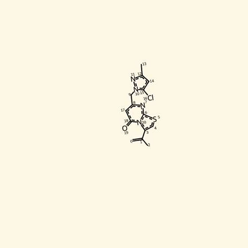 C=C(C)c1csc2nc(Cn3nc(C)cc3Cl)cc(=O)n12